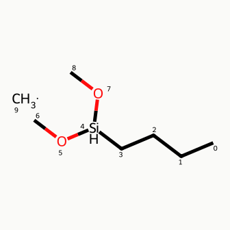 CCCC[SiH](OC)OC.[CH3]